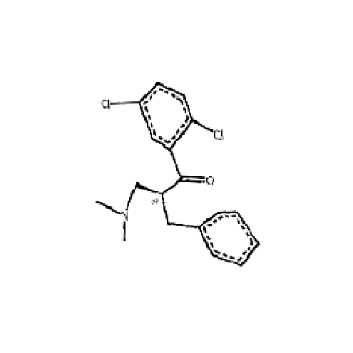 CN(C)C[C@H](Cc1ccccc1)C(=O)c1cc(Cl)ccc1Cl